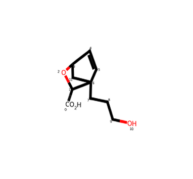 O=C(O)C1OC2C=CC1(CCCO)C2